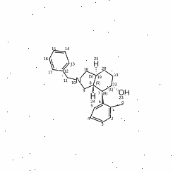 Cc1ccccc1[C@H]1[C@@H]2CN(Cc3ccccc3)C[C@H]2CC[C@@H]1O